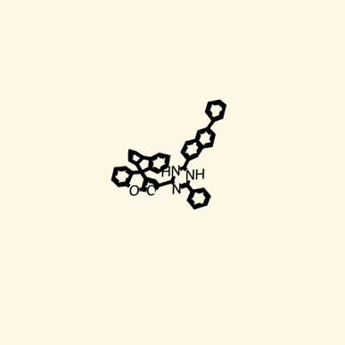 C1=CC2c3ccccc3C3(c4ccccc4Oc4ccc(C5N=C(c6ccccc6)NC(c6ccc7cc(-c8ccccc8)ccc7c6)N5)cc43)C2C=C1